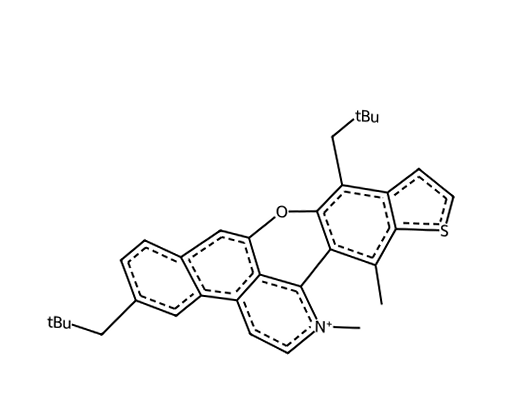 Cc1c2c(c(CC(C)(C)C)c3ccsc13)Oc1cc3ccc(CC(C)(C)C)cc3c3cc[n+](C)c-2c13